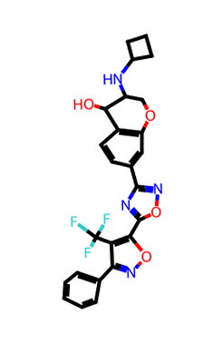 OC1c2ccc(-c3noc(-c4onc(-c5ccccc5)c4C(F)(F)F)n3)cc2OCC1NC1CCC1